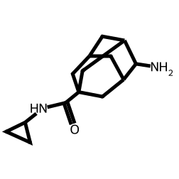 NC1C2CC3CC1CC(C(=O)NC1CC1)(C3)C2